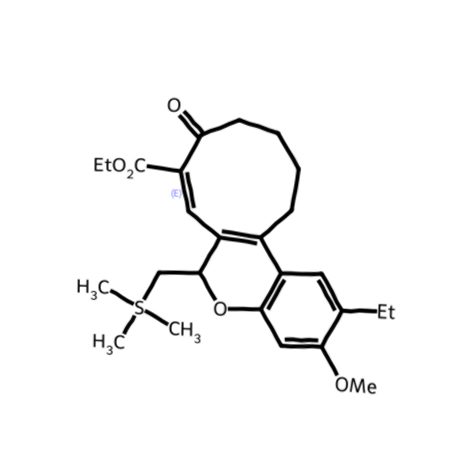 CCOC(=O)/C1=C/C2=C(CCCCC1=O)c1cc(CC)c(OC)cc1OC2CS(C)(C)C